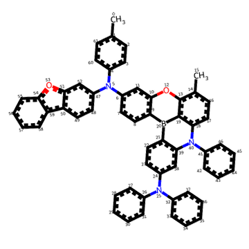 Cc1ccc(N(c2ccc3c(c2)Oc2c(C)ccc4c2B3c2ccc(N(c3ccccc3)c3ccccc3)cc2N4c2ccccc2)c2ccc3c(c2)oc2ccccc23)cc1